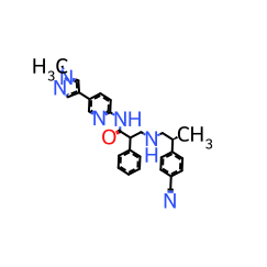 C[C@H](CNCC(C(=O)Nc1ccc(-c2cnn(C)c2)cn1)c1ccccc1)c1ccc(C#N)cc1